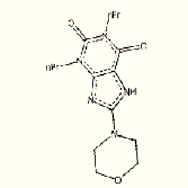 CCCn1c(=O)c2[nH]c(N3CCOCC3)nc2n(CCC)c1=O